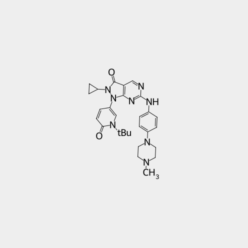 CN1CCN(c2ccc(Nc3ncc4c(=O)n(C5CC5)n(-c5ccc(=O)n(C(C)(C)C)c5)c4n3)cc2)CC1